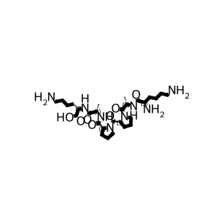 C[C@H](NC(=O)[C@@H]1CCCN1C(=O)[C@@H]1CCCN1C(=O)[C@H](C)NC(=O)[C@@H](N)CCCCN)C(=O)N[C@@H](CCCCN)C(=O)O